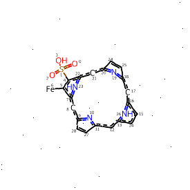 O=S(=O)(O)c1[c]([Fe])c2cc3nc(cc4ccc(cc5nc(cc1[nH]2)C=C5)[nH]4)C=C3